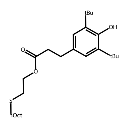 CCCCCCCCSCCOC(=O)CCc1cc(C(C)(C)C)c(O)c(C(C)(C)C)c1